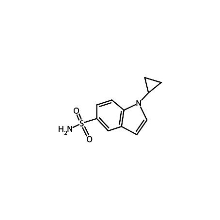 NS(=O)(=O)c1ccc2c(ccn2C2CC2)c1